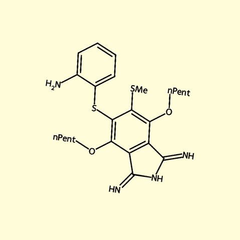 CCCCCOc1c(SC)c(Sc2ccccc2N)c(OCCCCC)c2c1C(=N)NC2=N